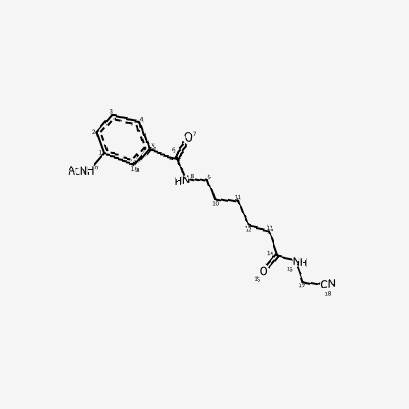 CC(=O)Nc1cccc(C(=O)NCCCCCC(=O)NCC#N)c1